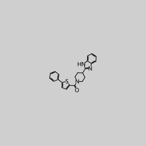 O=C(c1ccc(-c2ccccc2)s1)N1CCC(c2nc3ccccc3[nH]2)CC1